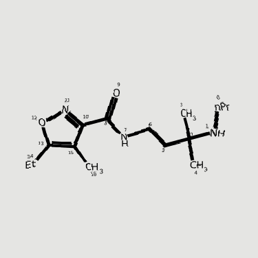 CCCNC(C)(C)CCNC(=O)c1noc(CC)c1C